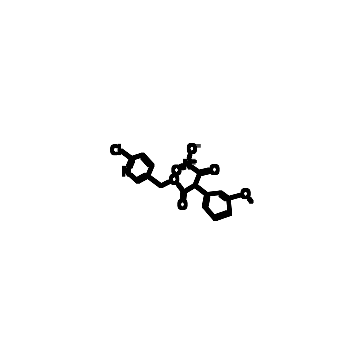 COc1cccc(C(C(=O)OCc2ccc(Cl)nc2)C(=O)[N+](=O)[O-])c1